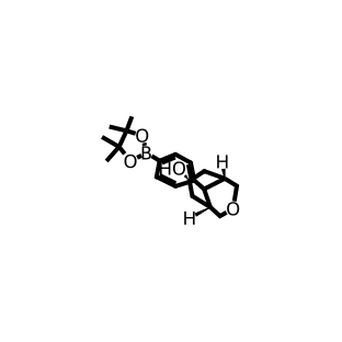 CC1(C)OB(c2ccc(C3[C@@H]4COC[C@H]3C[C@@H](O)C4)cc2)OC1(C)C